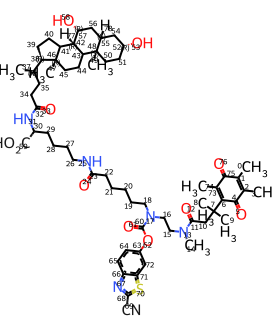 CC1=C(C)C(=O)C(C(C)(C)CC(=O)N(C)CCN(CCCCCC(=O)NCCCCC(NC(=O)CC[C@@H](C)[C@H]2CCC3[C@H]4C(CC[C@@]32C)[C@@]2(C)CC[C@@H](O)C[C@H]2C[C@H]4O)C(=O)O)C(=O)Oc2ccc3nc(C#N)sc3c2)=C(C)C1=O